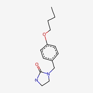 CCCCOc1ccc(CN2CC[N]C2=O)cc1